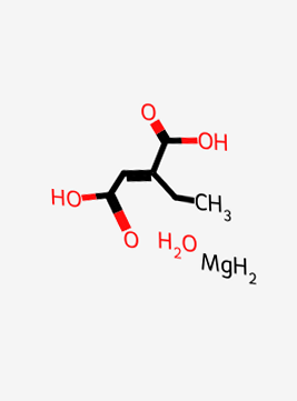 CC/C(=C\C(=O)O)C(=O)O.O.[MgH2]